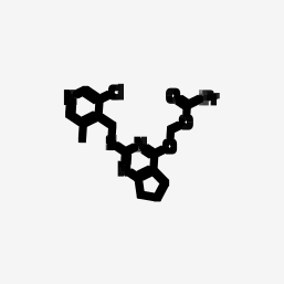 Cc1cncc(Cl)c1CSc1nc2c(c(OCOC(=O)C(C)C)n1)CCC2